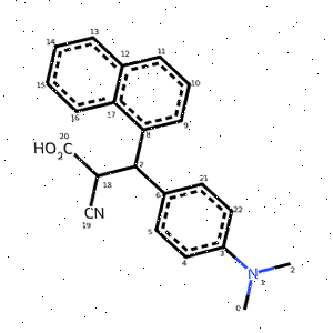 CN(C)c1ccc(C(c2cccc3ccccc23)C(C#N)C(=O)O)cc1